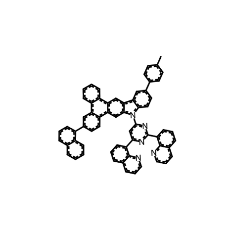 Cc1ccc(-c2ccc3c(c2)c2cc4c5ccccc5c5cc(-c6cccc7ccccc67)ccc5c4cc2n3-c2cc(-c3cccc4cccnc34)nc(-c3cccc4cccnc34)n2)cc1